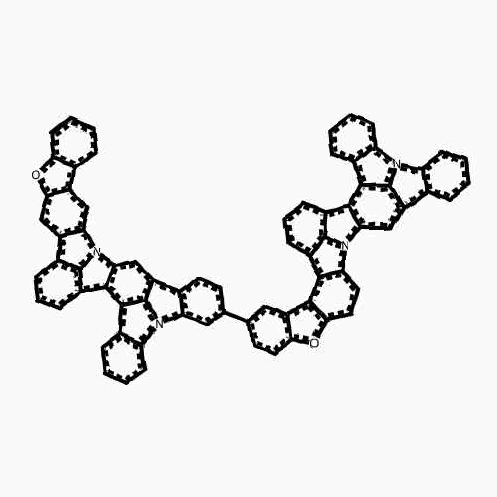 c1ccc2c(c1)oc1cc3c4cccc5c6c7c8ccccc8n8c9cc(-c%10ccc%11oc%12ccc%13c(c%14cccc%15c%16c%17c%18ccccc%18n%18c%19ccccc%19c(cc%16n%13c%14%15)c%17%18)c%12c%11c%10)ccc9c(cc6n(c3cc12)c45)c78